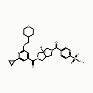 NS(=O)(=O)c1ccc(C(=O)N2CC3CN(C(=O)c4cc(OCC5CCOCC5)nc(C5CC5)c4)C[C@@H]3C2)cn1